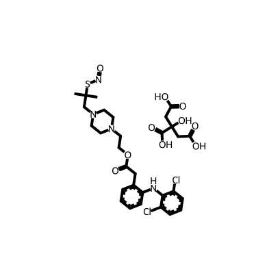 CC(C)(CN1CCN(CCOC(=O)Cc2ccccc2Nc2c(Cl)cccc2Cl)CC1)SN=O.O=C(O)CC(O)(CC(=O)O)C(=O)O